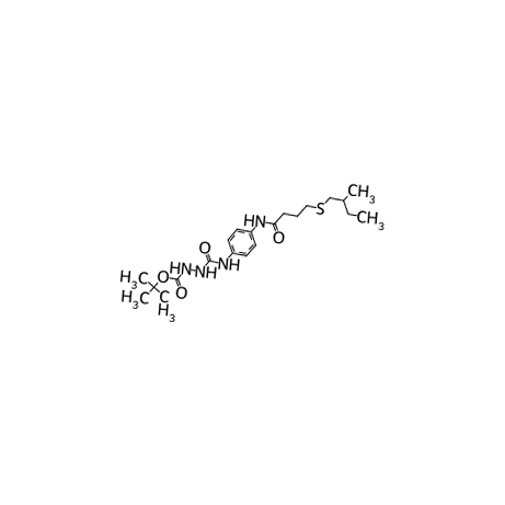 CCC(C)CSCCCC(=O)Nc1ccc(NC(=O)NNC(=O)OC(C)(C)C)cc1